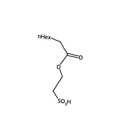 CCCCCCCC(=O)OCCS(=O)(=O)O